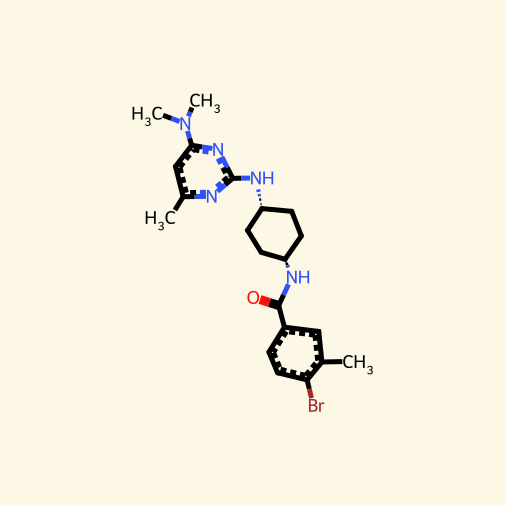 Cc1cc(N(C)C)nc(N[C@H]2CC[C@@H](NC(=O)c3ccc(Br)c(C)c3)CC2)n1